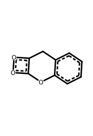 c1ccc2c(c1)Cc1ooc1O2